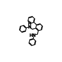 c1ccc(NCc2cccc(-c3ccccc3)c2CNc2ccccc2)cc1